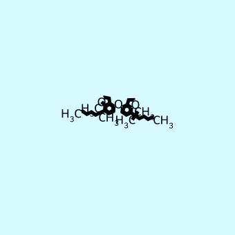 CCCCCC(C)(C)c1ccc(Oc2ccc(C(C)(C)CCCCC)c3c2CCO3)c2c1OCC2